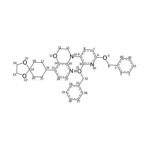 c1ccc(COc2ccc(N3CCOc4c(C5CCC6(CC5)OCCO6)ccnc43)c(OCc3ccccc3)n2)cc1